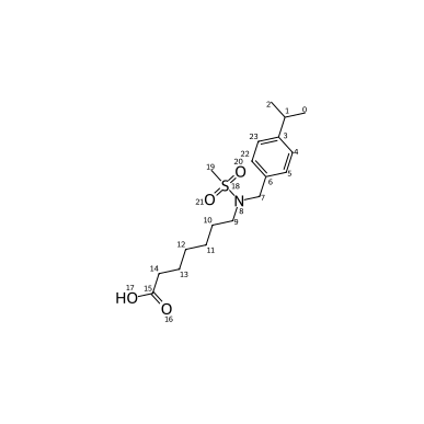 CC(C)c1ccc(CN(CCCCCCC(=O)O)S(C)(=O)=O)cc1